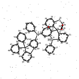 c1ccc(N(c2ccc3c(c2)[SiH](c2ccccc2)c2ccccc2C32c3ccccc3Sc3ccccc32)c2ccc3c(c2)C(c2ccccc2)(c2ccccc2)c2ccccc2-3)cc1